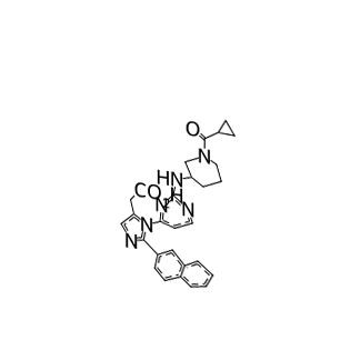 O=C(O)Cc1cnc(-c2ccc3ccccc3c2)n1-c1ccnc(NC2CCCN(C(=O)C3CC3)C2)n1